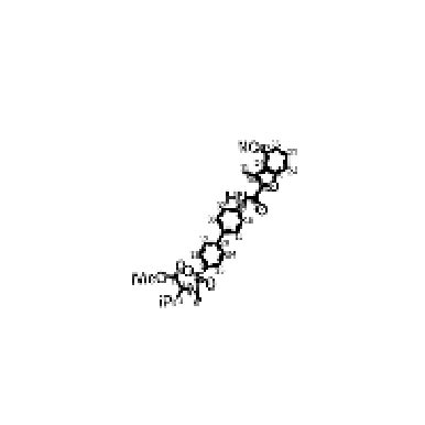 COC(=O)C(C(C)C)N(C)S(=O)(=O)c1ccc(-c2ccc(NC(=O)c3oc4cccc(C#N)c4c3C)cc2)cc1